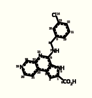 O=C(O)c1cc2c([nH]1)c(NCc1cccc(Cl)c1)nc1cnccc12